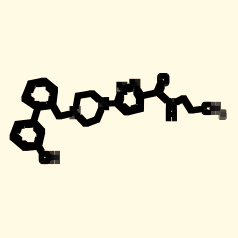 CCCNC(=O)c1ccc(N2CCN(Cc3ccccc3-c3cccc(O)c3)CC2)nn1